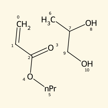 C=CC(=O)OCCC.CC(O)CO